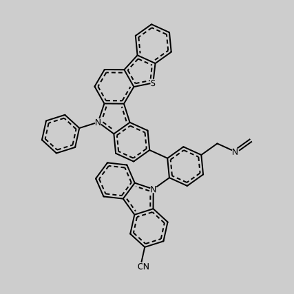 C=NCc1ccc(-n2c3ccccc3c3cc(C#N)ccc32)c(-c2ccc3c(c2)c2c4sc5ccccc5c4ccc2n3-c2ccccc2)c1